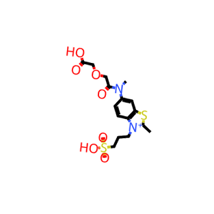 Cc1sc2cc(N(C)C(=O)COCC(=O)O)ccc2[n+]1CCCS(=O)(=O)O